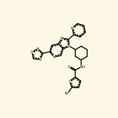 O=C(NC1CCCC(n2c(-c3ccccn3)nc3cc(-c4ncon4)ncc32)C1)c1ccc(Br)s1